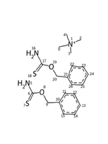 C[N+](C)(C)C.NC(=S)OCc1ccccc1.NC(=S)OCc1ccccc1